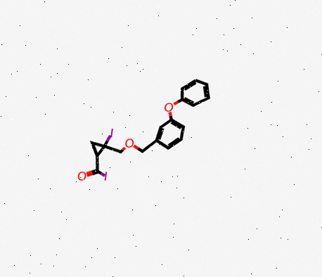 O=C(I)C1CC1(I)COCc1cccc(Oc2ccccc2)c1